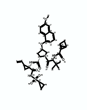 C=CC1C[C@]1(NC(=O)[C@@H]1C[C@@H](Oc2nccc3cc(OC)ccc23)CN1C(=O)[C@@H](NC(=O)C1C2CC1C2)C(C)(C)C)C(=O)NS(=O)(=O)C1CC1